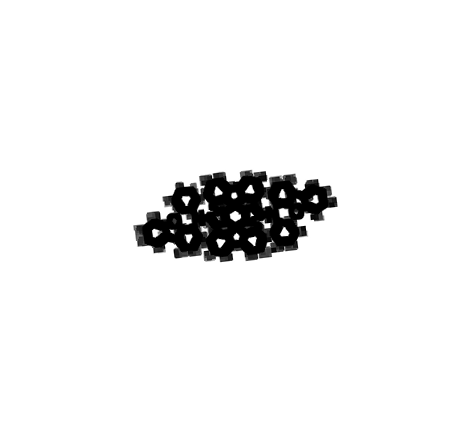 c1ccc(N(c2cc3c(s2)C2(c4ccccc4-c4ccccc42)c2cc(N(c4ccccc4)c4cccc5c4oc4ccccc45)sc2C32c3ccccc3-c3ccccc32)c2cccc3c2oc2ccccc23)cc1